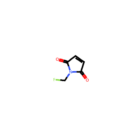 O=C1C=CC(=O)N1CF